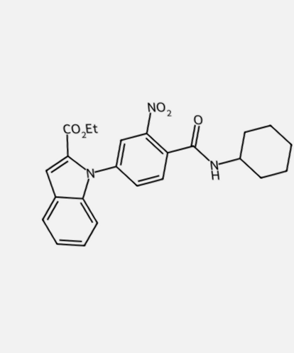 CCOC(=O)c1cc2ccccc2n1-c1ccc(C(=O)NC2CCCCC2)c([N+](=O)[O-])c1